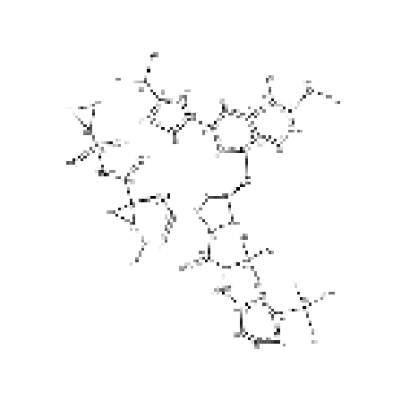 CC[C@@H]1C[C@]1(NC(=O)[C@@H]1C[C@@H](Oc2cc(-c3nc(C(C)C)cs3)nc3c(C)c(OC)ccc23)CN1C(=O)[C@@H](Nc1cccc(C(F)(F)F)c1)C(C)(C)C)C(=O)NS(=O)(=O)C1CC1